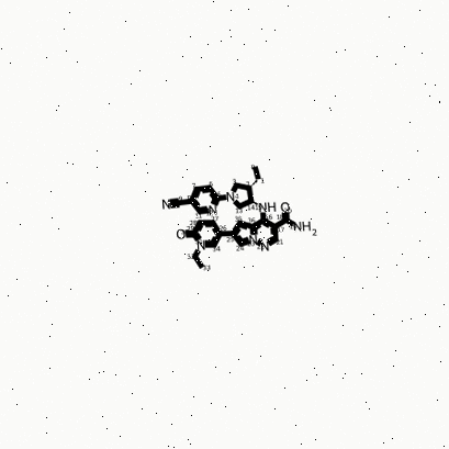 CC[C@H]1CN(c2ccc(C#N)cn2)C[C@H]1Nc1c(C(N)=O)cnn2cc(-c3ccc(=O)n(CC)c3)cc12